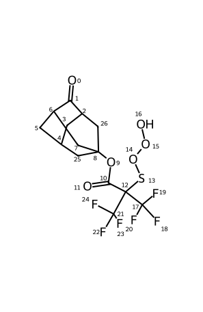 O=C1C2CC3CC1CC(OC(=O)C(SOOO)(C(F)(F)F)C(F)(F)F)(C3)C2